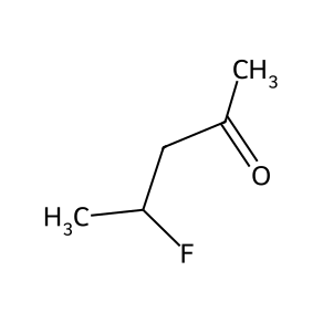 CC(=O)CC(C)F